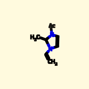 C=CN1C=CN(C(C)=O)C1C